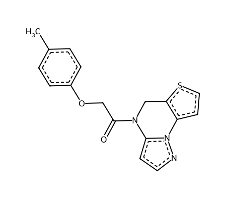 Cc1ccc(OCC(=O)N2Cc3sccc3-n3nccc32)cc1